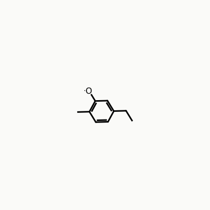 CCc1ccc(C)c([O])c1